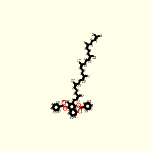 CC(C)=CCCC(C)=CCCC(C)=CCCC(C)=CCCC(C)=CCCC(C)=CCCC(C)=CCc1c(C)c(OC(=O)c2ccccc2)c2ccccc2c1OC(=O)c1ccccc1